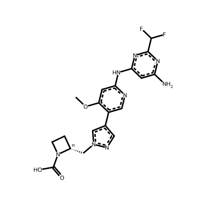 COc1cc(Nc2cc(N)nc(C(F)F)n2)ncc1-c1cnn(C[C@H]2CCN2C(=O)O)c1